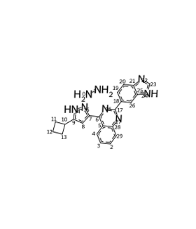 NN.c1ccc2c(-c3cc(C4CCC4)[nH]n3)nc(-c3ccc4nc[nH]c4c3)nc2c1